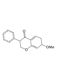 COC1C=C2OCC(c3ccccc3)C(=O)C2=CC1